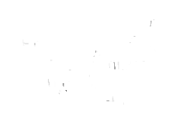 C=CCC(N)C(=O)OC(C)(C)Cc1ccc(Cl)cc1